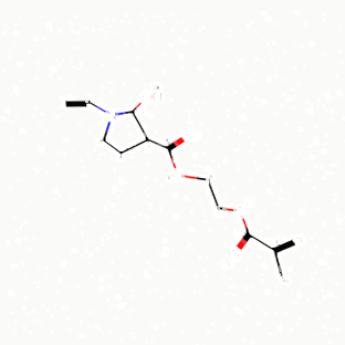 C=CN1CCC(C(=O)OCCOC(=O)C(=C)C)C1O